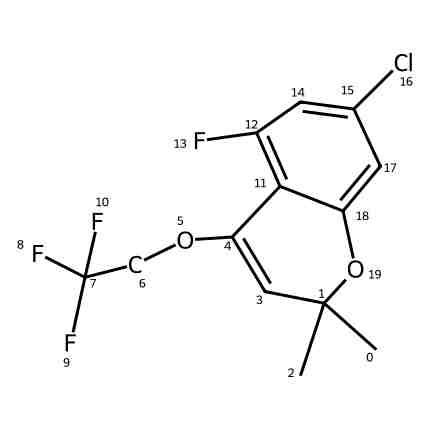 CC1(C)C=C(OCC(F)(F)F)c2c(F)cc(Cl)cc2O1